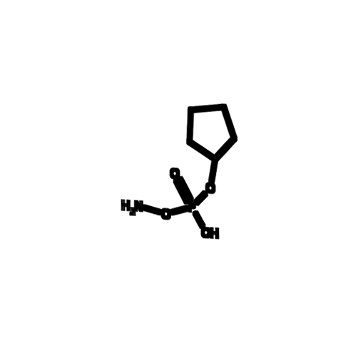 NOP(=O)(O)OC1CCCC1